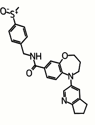 C[S+]([O-])c1ccc(CNC(=O)c2ccc3c(c2)OCCCN3c2cnc3c(c2)CCC3)cc1